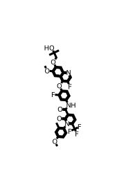 COc1ccc(-n2c(C(F)(F)F)ccc(C(=O)Nc3ccc(Oc4c(F)cnc5cc(OCC(C)(C)O)c(OC)cc45)c(F)c3)c2=O)c(C)c1